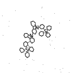 c1ccc([Si](c2ccccc2)(c2ccccc2)c2cccc(-n3c4ccccc4c4cc(-n5c6ccccc6c6c(-c7cccc8c7-c7ccccc7[Si]8(c7ccccc7)c7ccccc7)cccc65)ccc43)c2)cc1